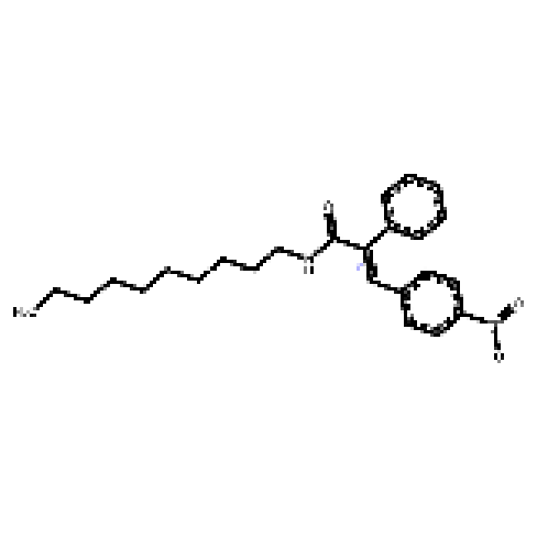 CCCCCCCCCCNC(=O)/C(=C/c1ccc([N+](=O)[O-])cc1)c1ccccc1